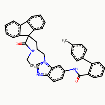 O=C(Nc1ccc2ncn(CCCC3(C(=O)NCC(F)(F)F)c4ccccc4-c4ccccc43)c2c1)c1ccccc1-c1ccc(C(F)(F)F)cc1